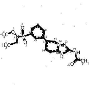 CCN(OC)S(=O)(=O)c1cccc(-c2ccc3nc(NC(C)=O)nn3c2)c1